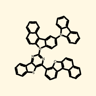 c1ccc2c(c1)ccc1oc3c(-c4nc(-n5c6ccc(-n7c8ccccc8c8ccccc87)cc6c6c7ccccc7ccc65)nc5c4sc4ccccc45)cccc3c12